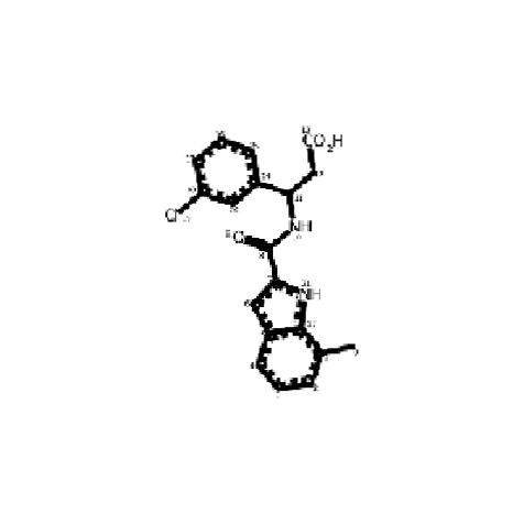 Cc1cccc2cc(C(=O)NC(CC(=O)O)c3cccc(Cl)c3)[nH]c12